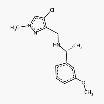 COc1cccc([C@@H](C)NCc2nn(C)cc2Cl)c1